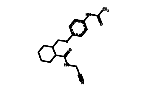 CC(=O)Nc1ccc(SCC2CCCCC2C(=O)NCC#N)cc1